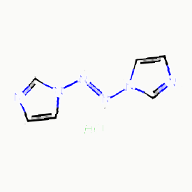 Cl.c1cn(N=Nn2ccnc2)cn1